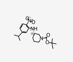 CC(C)c1ccc([N+](=O)[O-])c(N[C@H]2CCCN(C(=O)OC(C)(C)C)C2)c1